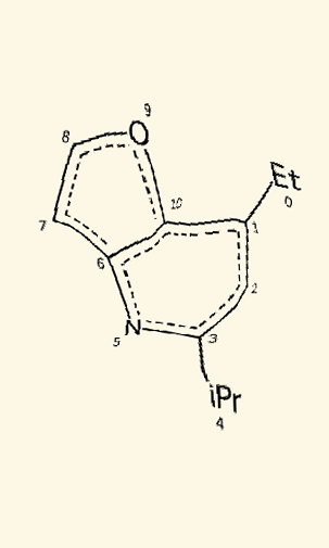 CCc1cc(C(C)C)nc2ccoc12